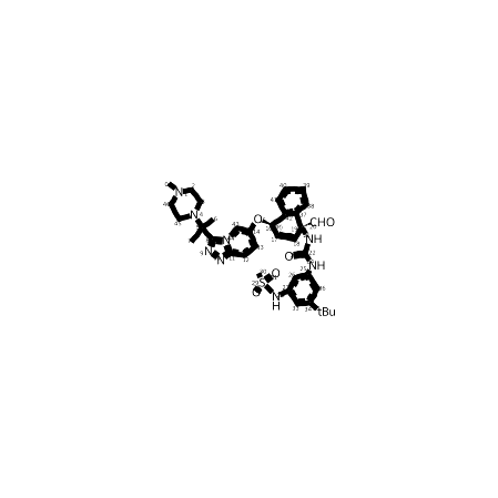 CN1CCN(C(C)(C)c2nnc3ccc(O[C@@H]4C=C[C@](C=O)(NC(=O)Nc5cc(NS(C)(=O)=O)cc(C(C)(C)C)c5)c5ccccc54)cn23)CC1